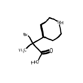 CC(Br)(C(=O)O)C1CCNCC1